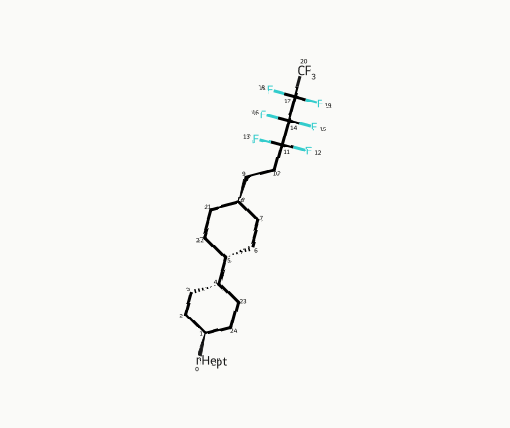 CCCCCCC[C@H]1CC[C@H]([C@H]2CC[C@H](CCC(F)(F)C(F)(F)C(F)(F)C(F)(F)F)CC2)CC1